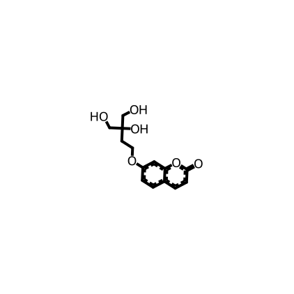 O=c1ccc2ccc(OCCC(O)(CO)CO)cc2o1